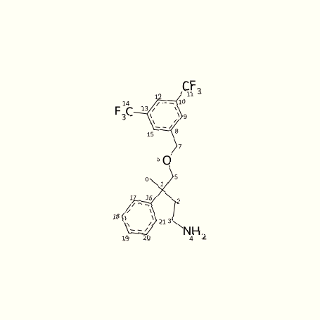 CC(CCN)(COCc1cc(C(F)(F)F)cc(C(F)(F)F)c1)c1ccccc1